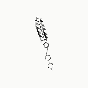 C[C@H]1CC[C@H](C2CCC(CCc3ccc(C(F)(F)C(F)(F)C(F)(F)C(F)(F)C(F)(F)C(F)(F)C(F)(F)C(F)(F)F)cc3)CC2)CC1